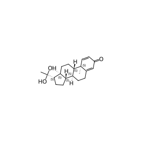 CC(O)(O)[C@H]1CC[C@H]2[C@@H]3CCC4=CC(=O)C=C[C@]4(C)[C@H]3CC[C@]12C